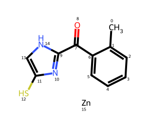 Cc1ccccc1C(=O)c1nc(S)c[nH]1.[Zn]